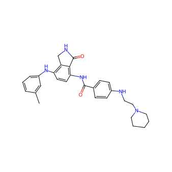 Cc1cccc(Nc2ccc(NC(=O)c3ccc(NCCN4CCCCC4)cc3)c3c2CNC3=O)c1